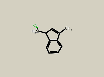 CC1=CC([SiH2]Cl)c2ccccc21